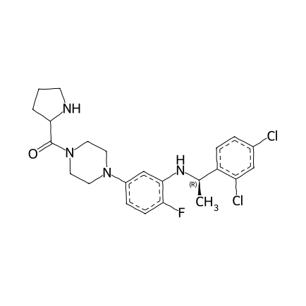 C[C@@H](Nc1cc(N2CCN(C(=O)C3CCCN3)CC2)ccc1F)c1ccc(Cl)cc1Cl